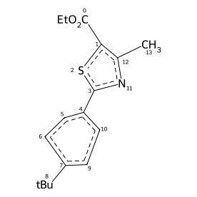 CCOC(=O)c1sc(-c2ccc(C(C)(C)C)cc2)nc1C